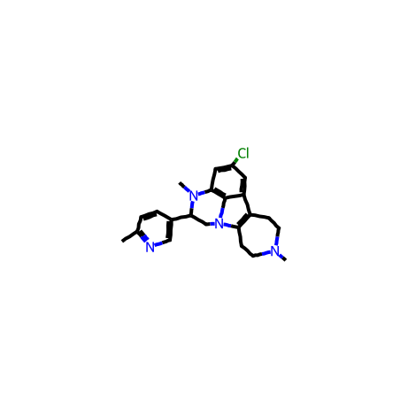 Cc1ccc(C2Cn3c4c(c5cc(Cl)cc(c53)N2C)CCN(C)CC4)cn1